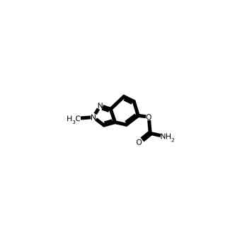 Cn1cc2cc(OC(N)=O)ccc2n1